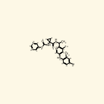 CC(NC(=O)C1(NC(=O)Oc2cncnc2)CC1)c1ncc(Nc2ccc(Br)cc2C(F)(F)F)cc1F